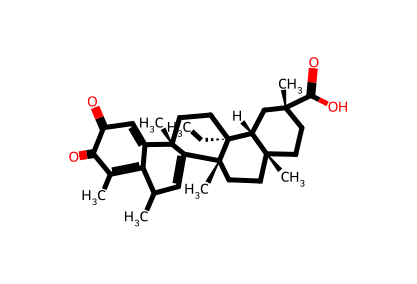 CC[C@@]12CC[C@@]3(C)C4=CC(=O)C(=O)C(C)=C4C(C)C=C3[C@@]1(C)CC[C@@]1(C)CC[C@@](C)(C(=O)O)C[C@H]12